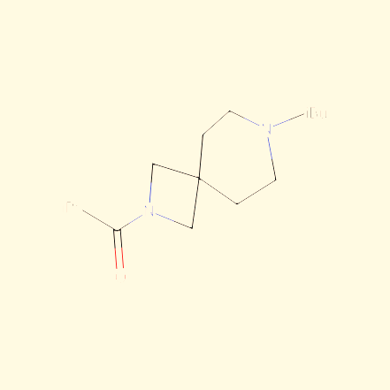 CCC(C)N1CCC2(CC1)CN(C(=O)C(C)C)C2